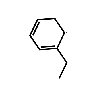 CCC1=CC=CC[CH]1